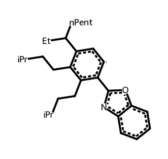 CCCCCC(CC)c1c[c]c(-c2nc3ccccc3o2)c(CCC(C)C)c1CCC(C)C